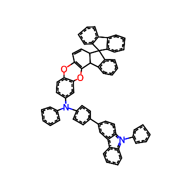 C1=CC2C(C3=C1Oc1ccc(N(c4ccccc4)c4ccc(-c5ccc6c(c5)c5ccccc5n6-c5ccccc5)cc4)cc1O3)c1ccccc1C21c2ccccc2-c2ccccc21